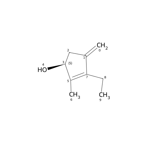 C=C1C[C@H](O)C(C)=C1CC